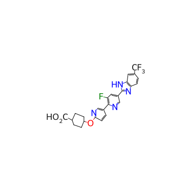 O=C(O)C1CCC(Oc2ccc(-c3ncc(-c4nc5ccc(C(F)(F)F)cc5[nH]4)cc3F)cn2)CC1